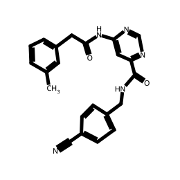 Cc1cccc(CC(=O)Nc2cc(C(=O)NCc3ccc(C#N)cc3)ncn2)c1